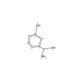 NC(O)c1cccc(O)c1